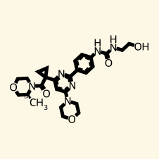 C[C@H]1COCCN1C(=O)C1(c2cc(N3CCOCC3)nc(-c3ccc(NC(=O)NCCO)cc3)n2)CC1